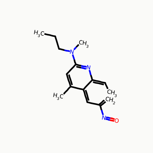 C=C(/C=c1/c(C)cc(N(C)CCC)n/c1=C/C)N=O